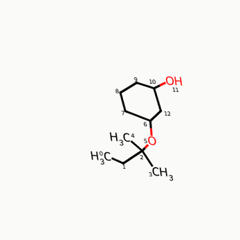 CCC(C)(C)OC1CCCC(O)C1